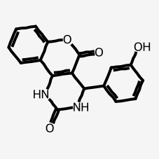 O=C1Nc2c(c(=O)oc3ccccc23)C(c2cccc(O)c2)N1